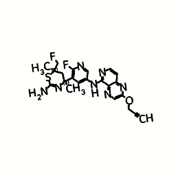 C#CCOc1cnc2c(Nc3cnc(F)c([C@]4(C)C[C@](C)(CF)SC(N)=N4)c3)nccc2n1